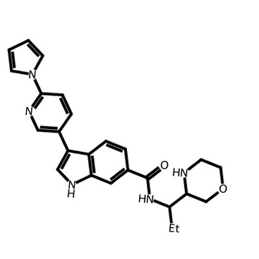 CCC(NC(=O)c1ccc2c(-c3ccc(-n4cccc4)nc3)c[nH]c2c1)C1COCCN1